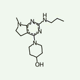 CCCNc1nc2c(c(N3CCC(O)CC3)n1)CCN2C